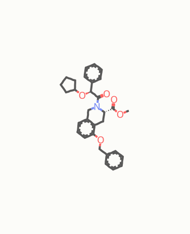 COC(=O)[C@@H]1Cc2c(cccc2OCc2ccccc2)CN1C(=O)[C@@H](OC1CCCC1)c1ccccc1